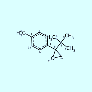 Cc1ccc(C2(C(C)(C)C)CO2)cc1